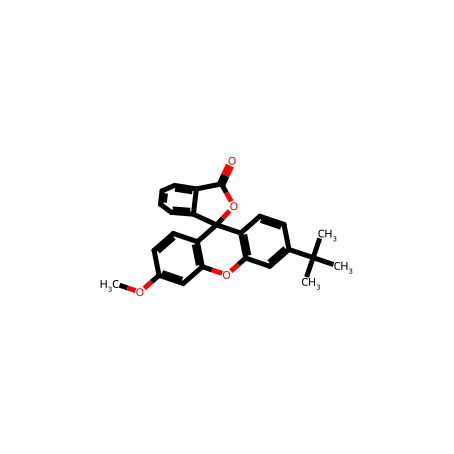 COc1ccc2c(c1)Oc1cc(C(C)(C)C)ccc1C21OC(=O)c2ccccc21